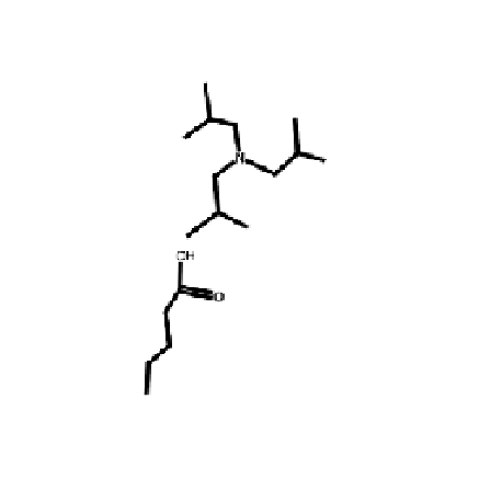 CC(C)CN(CC(C)C)CC(C)C.CCCCC(=O)O